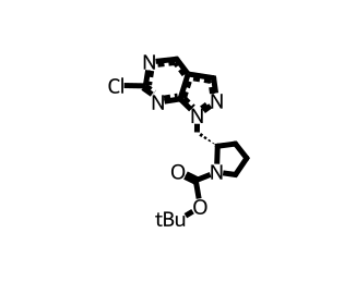 CC(C)(C)OC(=O)N1CCC[C@H]1Cn1ncc2cnc(Cl)nc21